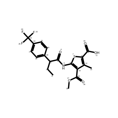 CCC(C(=O)Nc1sc(C(=O)O)c(C)c1C(=O)OC)c1ccc(C(F)(F)F)cc1